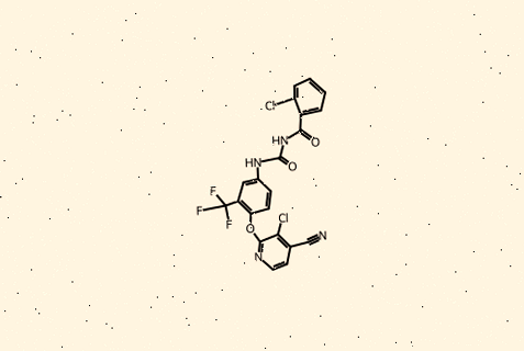 N#Cc1ccnc(Oc2ccc(NC(=O)NC(=O)c3ccccc3Cl)cc2C(F)(F)F)c1Cl